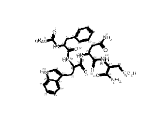 CCCCCCCCCC(=O)NC(Cc1ccccc1)C(=O)NC(Cc1c[nH]c2ccccc12)C(=O)NC(CC(N)=O)C(=O)NC(CC(=O)O)C(N)=O